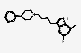 Cc1cc(F)cc2c(CCCCN3CCC(c4ccccc4)CC3)c[nH]c12